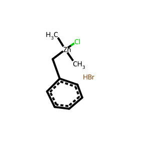 Br.[CH3][Zn]([CH3])([Cl])[CH2]c1ccccc1